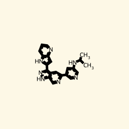 CC(C)Nc1cncc(-c2cc3c(-c4cc5ncccc5[nH]4)n[nH]c3cn2)c1